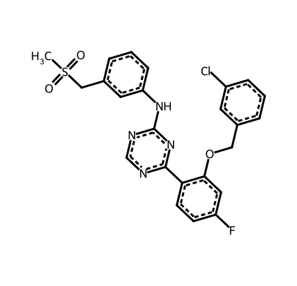 CS(=O)(=O)Cc1cccc(Nc2ncnc(-c3ccc(F)cc3OCc3cccc(Cl)c3)n2)c1